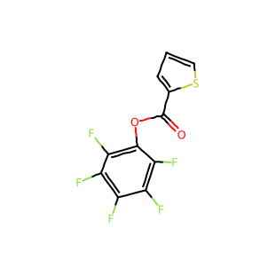 O=C(Oc1c(F)c(F)c(F)c(F)c1F)c1cccs1